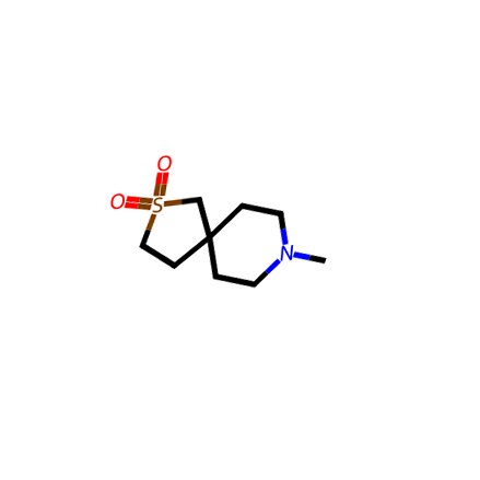 CN1CCC2(CC1)CCS(=O)(=O)C2